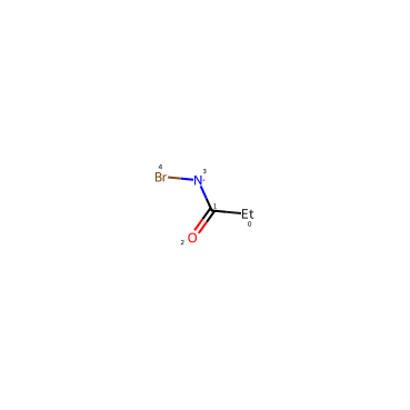 CCC(=O)[N]Br